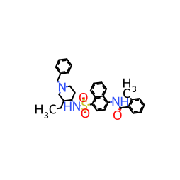 CCC1CN(Cc2ccccc2)CCC1NS(=O)(=O)c1ccc(NC(=O)c2ccccc2C)c2ccccc12